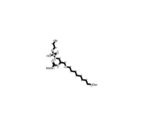 CCCCCCCCCCCCCCCCCCOCC(COP(=O)(O)OCCBr)OC(=O)NC